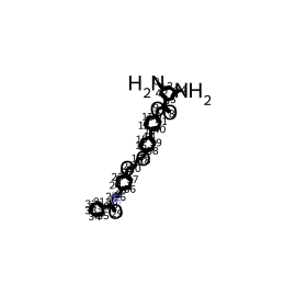 Nc1cc(N)cc(C(=O)Oc2ccc(-c3ccc(OCCOc4ccc(/C=C/C(=O)c5ccccc5)cc4)cc3)cc2)c1